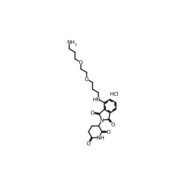 Cl.NCCCOCCOCCCNc1cccc2c1C(=O)N(C1CCC(=O)NC1=O)C2=O